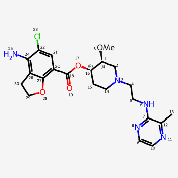 CO[C@H]1CN(CCNc2nccnc2C)CC[C@H]1OC(=O)c1cc(Cl)c(N)c2c1OCC2